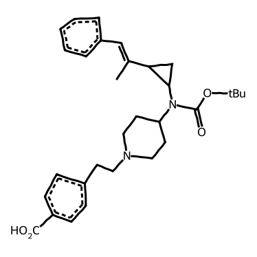 C/C(=C\c1ccccc1)C1CC1N(C(=O)OC(C)(C)C)C1CCN(CCc2ccc(C(=O)O)cc2)CC1